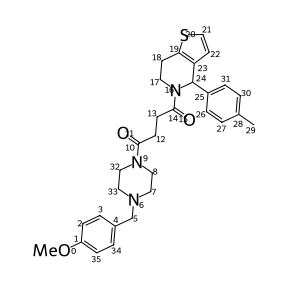 COc1ccc(CN2CCN(C(=O)CCC(=O)N3CCc4sccc4C3c3ccc(C)cc3)CC2)cc1